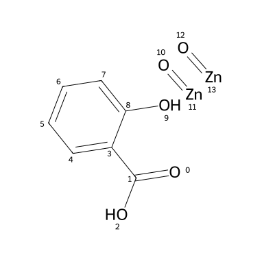 O=C(O)c1ccccc1O.[O]=[Zn].[O]=[Zn]